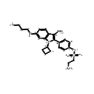 CCCS(=O)(=O)Nc1ccc(-c2c(N)c3ccc(OCCCO)cc3n2C2CCC2)cc1